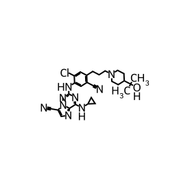 CC(C)(O)C1CCN(CCCc2cc(Cl)c(Nc3nc(NC4CC4)c4ncc(C#N)n4n3)cc2C#N)CC1